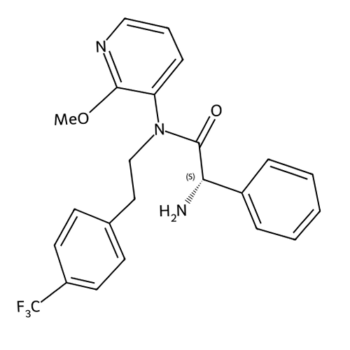 COc1ncccc1N(CCc1ccc(C(F)(F)F)cc1)C(=O)[C@@H](N)c1ccccc1